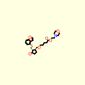 O=C(CCCCOC[C@H]1CCC(=O)[C@@H]1CSc1cccc2occc12)OCCN1CCOCC1